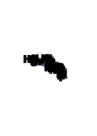 Nc1ncc(/C=C/CCCCCC(=O)O)c2c1c(-c1ccc(C(=O)Nc3cc(C(F)(F)F)ccn3)cc1)nn2[C@@H]1CCC[C@@H](N)C1